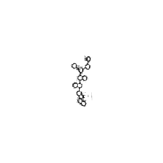 CC1(C)c2cc(C3=CC=C(c4ccc(-c5cc(-c6cccc(-c7cccnc7)c6)nc(-c6ccccc6)n5)c5ccccc45)C4C=CC=CC34)ccc2-c2ccc3ccccc3c21